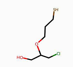 OCC(CCl)OCCCS